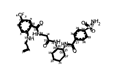 C=CCNc1ccc(C(F)(F)F)cc1C(=O)NCC(=O)N[C@@H]1CCCC[C@@H]1NC(=O)c1ccc(S(N)(=O)=O)cc1